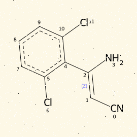 N#C/C=C(\N)c1c(Cl)cccc1Cl